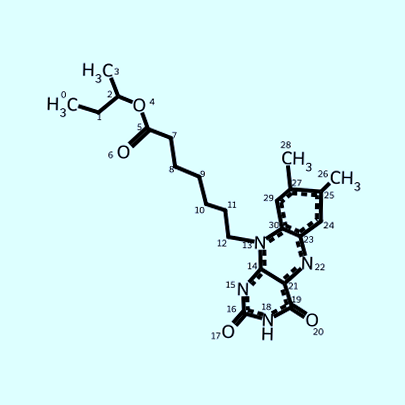 CCC(C)OC(=O)CCCCCCn1c2nc(=O)[nH]c(=O)c-2nc2cc(C)c(C)cc21